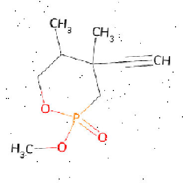 C#CC1(C)CP(=O)(OC)OCC1C